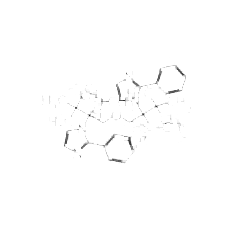 C[SiH](C)C(COCC(n1ccnc1-c1ccccc1)([SiH](C)C)C(C)(C)C)(n1ccnc1-c1ccccc1)C(C)(C)C